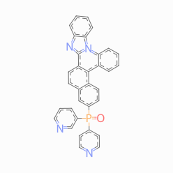 O=P(c1ccncc1)(c1cccnc1)c1ccc2c(ccc3c2c2ccccc2n2c4ccccc4nc32)c1